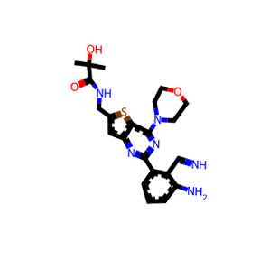 CC(C)(O)C(=O)NCc1cc2nc(-c3cccc(N)c3C=N)nc(N3CCOCC3)c2s1